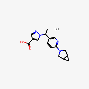 CC(c1ccc(N2CC3CC3C2)nc1)n1cc(C(=O)O)cn1.[LiH]